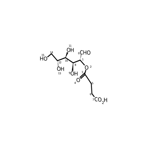 O=C[C@H](OC(=O)CCC(=O)O)[C@@H](O)[C@H](O)[C@H](O)CO